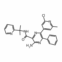 Cc1cc(-c2nc(C(=O)NC(C)(C)c3ccccn3)c(N)nc2-c2ccccc2)cc(Cl)n1